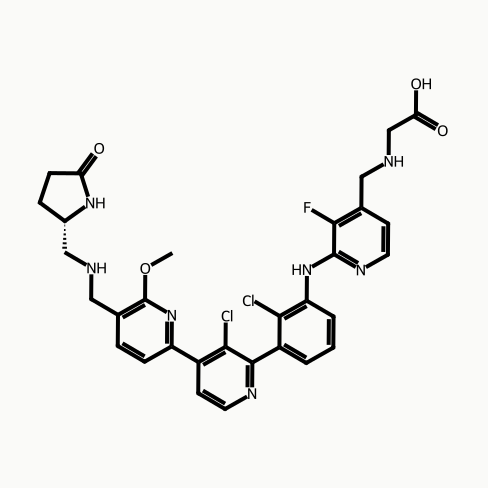 COc1nc(-c2ccnc(-c3cccc(Nc4nccc(CNCC(=O)O)c4F)c3Cl)c2Cl)ccc1CNC[C@@H]1CCC(=O)N1